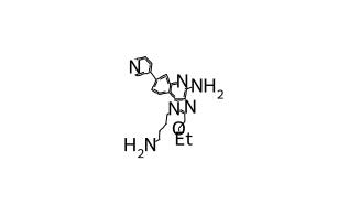 CCOCc1nc2c(N)nc3cc(-c4cccnc4)ccc3c2n1CCCCN